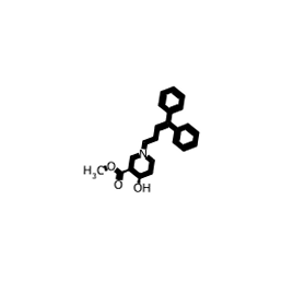 COC(=O)[C@H]1CN(CCC=C(c2ccccc2)c2ccccc2)CC[C@H]1O